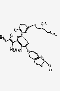 CCOc1ncc2c(n1)CN(c1nc(-c3cc(OC[C@H](O)CNC)ccc3Cl)nc(/C(NC)=C(\Cl)C=N)c1C)C2